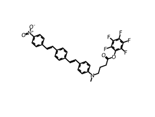 CN(CCCC(=O)Oc1c(F)c(F)c(F)c(F)c1F)c1ccc(/C=C/c2ccc(/C=C/c3ccc([N+](=O)[O-])cc3)cc2)cc1